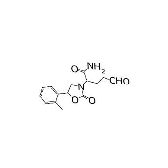 Cc1ccccc1C1CN(C(CCC=O)C(N)=O)C(=O)O1